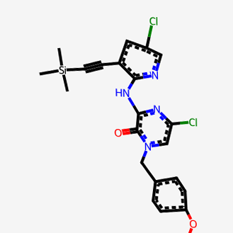 COc1ccc(Cn2cc(Cl)nc(Nc3ncc(Cl)cc3C#C[Si](C)(C)C)c2=O)cc1